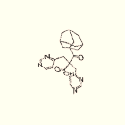 O=C(O)C(Cc1ccncn1)(Cc1ccncn1)C(=O)C12CC3CC(CC(C3)C1)C2